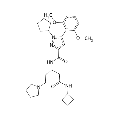 COc1cccc(OC)c1-c1cc(C(=O)N[C@@H](CCN2CCCC2)CC(=O)NC2CCC2)nn1C1CCCC1